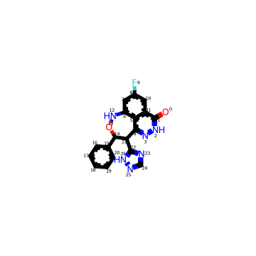 O=c1[nH]nc2c3c(cc(F)cc13)NOC(c1ccccc1)C2c1ncn[nH]1